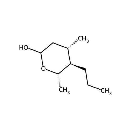 CCC[C@H]1[C@H](C)OC(O)C[C@@H]1C